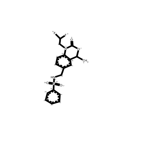 CC1OC(=O)N(CC(F)F)c2ccc(CNS(=O)(=O)c3ccccc3)cc21